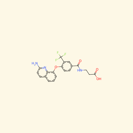 Nc1ccc2cccc(Oc3ccc(C(=O)NCCC(=O)O)cc3C(F)(F)F)c2n1